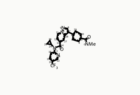 CNC(=O)c1ccc(-c2cnn3ccc(C(=O)N(c4ccc(C(F)(F)F)cn4)C4CC4)cc23)cc1